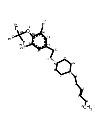 CC/C=C/CC[C@H]1CC[C@H](CCc2cc(F)c(OC(F)(F)F)c(F)c2)CC1